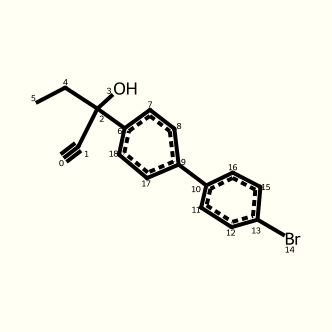 C#CC(O)(CC)c1ccc(-c2ccc(Br)cc2)cc1